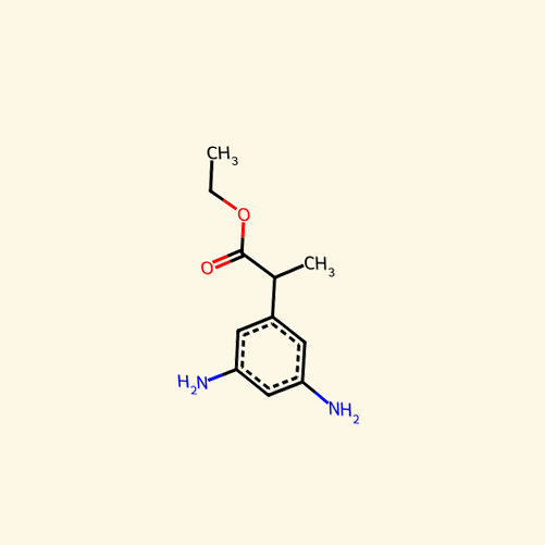 CCOC(=O)C(C)c1cc(N)cc(N)c1